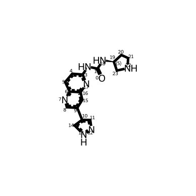 O=C(Nc1ccc2ncc(-c3cn[nH]c3)cc2n1)N[C@H]1CCNC1